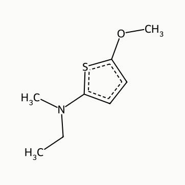 CCN(C)c1ccc(OC)s1